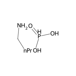 CCCCN.O=[PH](O)O